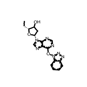 CC[C@H]1O[C@@H](n2cnc3c(On4nnc5ccccc54)ncnc32)CC1O